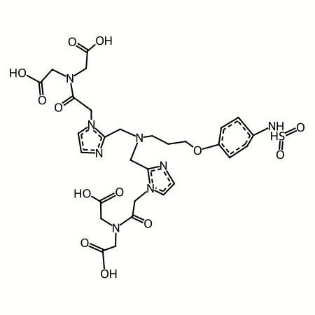 O=C(O)CN(CC(=O)O)C(=O)Cn1ccnc1CN(CCCOc1ccc(N[SH](=O)=O)cc1)Cc1nccn1CC(=O)N(CC(=O)O)CC(=O)O